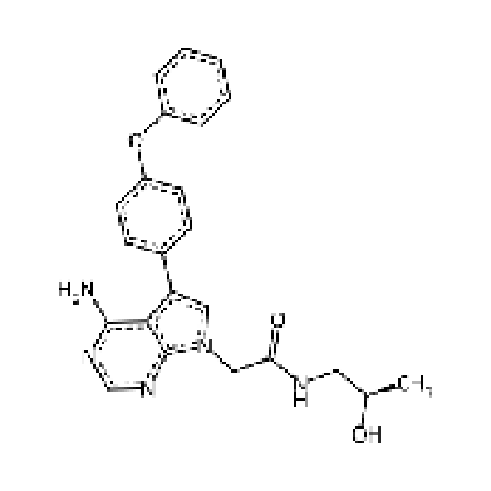 C[C@@H](O)CNC(=O)Cn1cc(-c2ccc(Oc3ccccc3)cc2)c2c(N)ncnc21